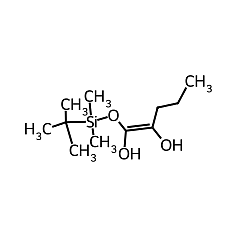 CCCC(O)=C(O)O[Si](C)(C)C(C)(C)C